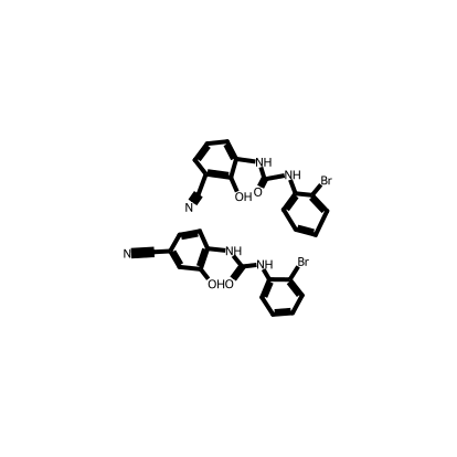 N#Cc1ccc(NC(=O)Nc2ccccc2Br)c(O)c1.N#Cc1cccc(NC(=O)Nc2ccccc2Br)c1O